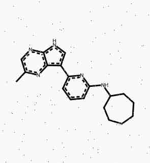 Cc1cnc2[nH]cc(-c3cccc(NC4CCCCCC4)n3)c2n1